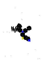 CC1(C)c2ccccc2-c2cc(N(c3ccc(-c4ccccc4)cc3)c3ccc4sc5cc6cnccc6cc5c4c3)ccc21